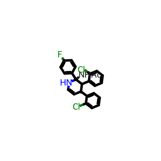 CC(=O)NC1(c2ccc(F)cc2)NC=C[C](c2ccccc2Cl)C1c1ccccc1Cl